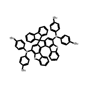 CC(C)(C)c1ccc(N(c2ccc(C(C)(C)C)cc2)c2cc3c(c4c2sc2ccccc24)-c2c(cc(N(c4ccc(C(C)(C)C)cc4)c4ccc(C(C)(C)C)cc4)c4sc5ccccc5c24)C32c3ccccc3-c3ccccc32)cc1